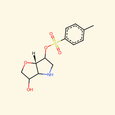 Cc1ccc(S(=O)(=O)OC2CNC3C(O)CO[C@H]23)cc1